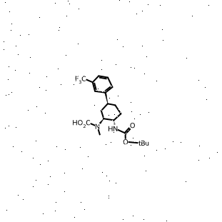 CN(C(=O)O)[C@H]1C[C@@H](c2cccc(C(F)(F)F)c2)CC[C@@H]1NC(=O)OC(C)(C)C